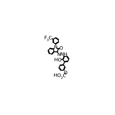 O=C(O)Oc1cccc(-c2cccc(NN=C3C(=O)N(c4cccc(C(F)(F)F)c4)c4ccccc43)c2O)c1